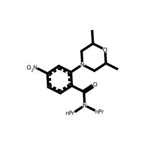 CCCN(CCC)C(=O)c1ccc([N+](=O)[O-])cc1N1CC(C)OC(C)C1